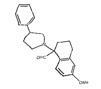 COc1ccc2c(c1)CCCC2(C=O)N1CCC(c2ccccc2)C1